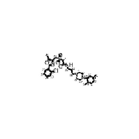 Cc1ccc(C)c(N2CCN(CCCNC(=O)CS(=O)(=O)Cc3nc(-c4ccccc4Cl)oc3C)CC2)c1